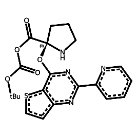 CC(C)(C)OC(=O)OC(=O)[C@]1(Oc2nc(-c3ccccn3)nc3ccsc23)CCCN1